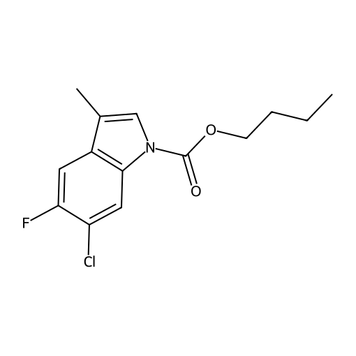 CCCCOC(=O)n1cc(C)c2cc(F)c(Cl)cc21